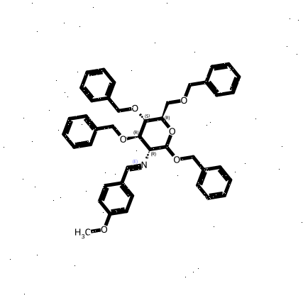 COc1ccc(/C=N/[C@H]2C(OCc3ccccc3)O[C@H](COCc3ccccc3)[C@@H](OCc3ccccc3)[C@@H]2OCc2ccccc2)cc1